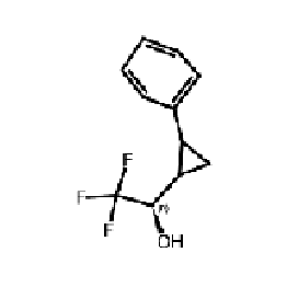 O[C@H](C1CC1c1ccccc1)C(F)(F)F